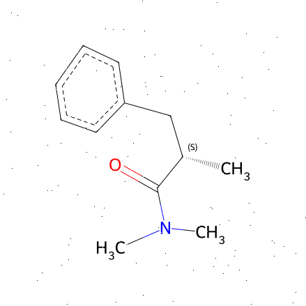 C[C@@H](Cc1ccccc1)C(=O)N(C)C